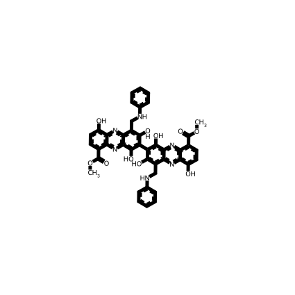 COC(=O)c1ccc(O)c2nc3c(CNc4ccccc4)c(O)c(-c4c(O)c(CNc5ccccc5)c5nc6c(O)ccc(C(=O)OC)c6nc5c4O)c(O)c3nc12